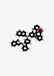 c1ccc2c(c1)Sc1cc(N(c3ccc4ccccc4c3)c3ccc4c5ccccc5n(-c5ccc6ccccc6c5)c4c3)ccc1C21c2ccccc2-c2cccc3cccc1c23